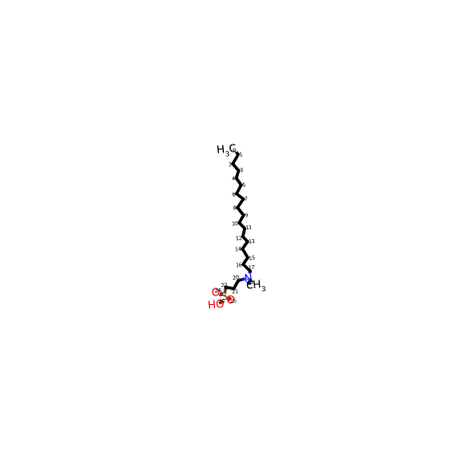 CCCCCCCCCCCCCCCCCCN(C)CCCS(=O)(=O)O